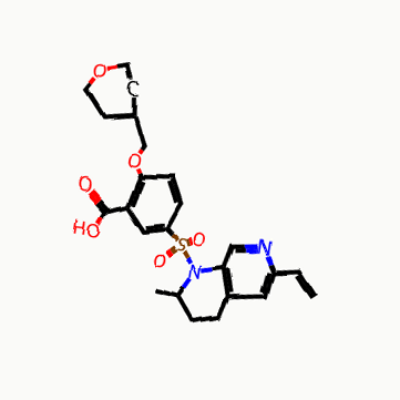 C=Cc1cc2c(cn1)N(S(=O)(=O)c1ccc(OCC3CCOCC3)c(C(=O)O)c1)C(C)CC2